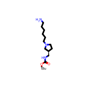 CC(C)(C)OC(=O)NC[C@@H]1CCN(CCCCCCN)C1